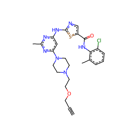 C#CCOCCN1CCN(c2cc(Nc3ncc(C(=O)Nc4c(C)cccc4Cl)s3)nc(C)n2)CC1